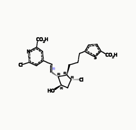 O=C(O)c1cc(/C=C/[C@@H]2[C@@H](CCCc3ccc(C(=O)O)s3)[C@H](Cl)C[C@H]2O)cc(Cl)n1